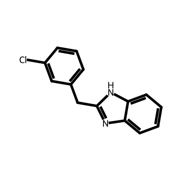 Clc1cccc(Cc2nc3ccccc3[nH]2)c1